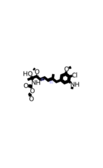 CNc1cc(C/C(C)=C/C=C/[C@@H](OC)C(C)(O)NC(=O)OC=O)cc(OC)c1Cl